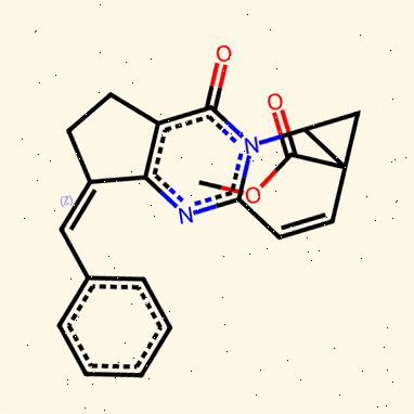 COC(=O)C12C=Cc3nc4c(c(=O)n3C1C2)CC/C4=C/c1ccccc1